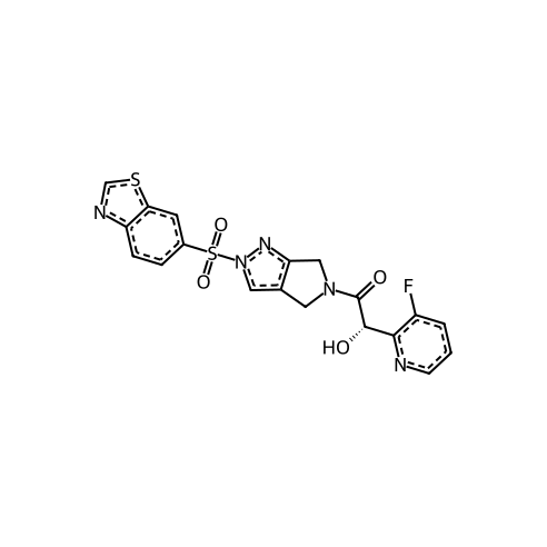 O=C([C@@H](O)c1ncccc1F)N1Cc2cn(S(=O)(=O)c3ccc4ncsc4c3)nc2C1